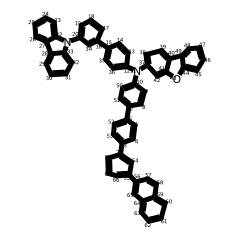 c1cc(-c2ccc(-c3ccc(N(c4ccc(-c5cccc(-n6c7ccccc7c7ccccc76)c5)cc4)c4ccc5c(c4)oc4ccccc45)cc3)cc2)cc(-c2ccc3ccccc3c2)c1